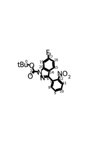 CC(C)(C)OC(=O)n1nc(-c2ccccc2[N+](=O)[O-])c2ccc(F)cc21